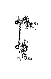 C[C@@H](C(=O)N[C@H]1CCS[C@H]2CC(C)(C)[C@@H](C(=O)N[C@H](COCCCCCCCCCCOC[C@@H](NC(=O)[C@H]3N4C(=O)[C@@H](NC(=O)CN(C)C(=O)OC(C)(C)C)CCS[C@H]4CC3(C)C)C3C=CC=CC3)c3ccccc3)N2C1=O)N(C)C(=O)OC(C)(C)C